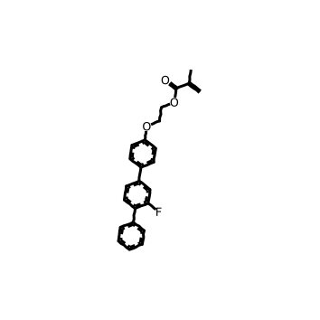 C=C(C)C(=O)OCCOc1ccc(-c2ccc(-c3ccccc3)c(F)c2)cc1